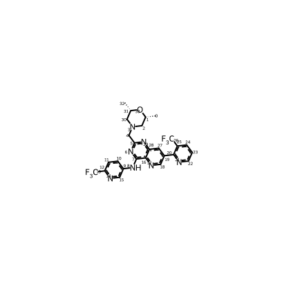 C[C@@H]1CN(Cc2nc(Nc3ccc(C(F)(F)F)nc3)c3ncc(-c4ncccc4C(F)(F)F)cc3n2)C[C@H](C)O1